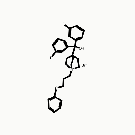 OC(c1cccc(F)c1)(c1cccc(F)c1)C12CC[N+](CCCOc3ccccc3)(CC1)CC2.[Br-]